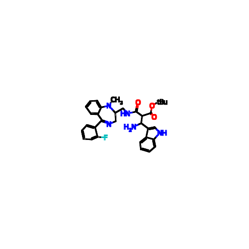 CN1c2ccccc2C(c2ccccc2F)=NCC1CNC(=O)C(C(=O)OC(C)(C)C)C(N)c1c[nH]c2ccccc12